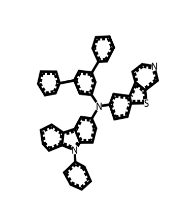 c1ccc(-c2cc(-c3ccccc3)cc(N(c3ccc4sc5cnccc5c4c3)c3ccc4c(c3)c3ccccc3n4-c3ccccc3)c2)cc1